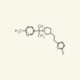 Cc1ccc(C(C)(C)N2CCC(CCc3ccc(F)s3)C2)cn1